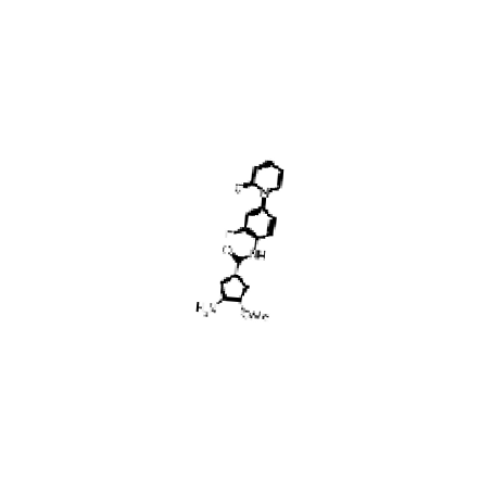 CO[C@H]1C[C@H](C(=O)Nc2ccc(-n3ccccc3=O)cc2F)C[C@@H]1N